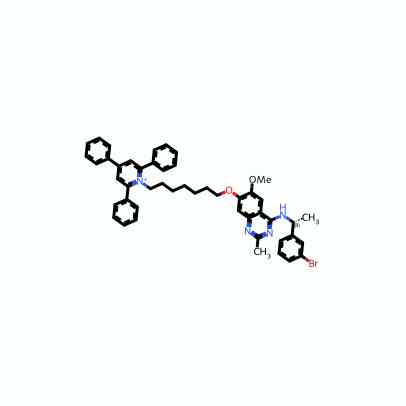 COc1cc2c(N[C@H](C)c3cccc(Br)c3)nc(C)nc2cc1OCCCCCCC[n+]1c(-c2ccccc2)cc(-c2ccccc2)cc1-c1ccccc1